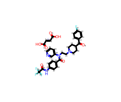 O=C(O)/C=C/C(=O)O.O=C(c1ccc(F)cc1)C1CCN(CCN(C(=O)c2ccc(NC(=O)C(F)(F)F)cc2)c2cccnc2)CC1